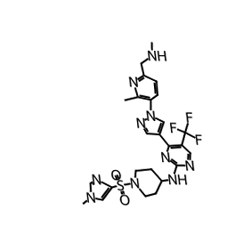 CNCc1ccc(-n2cc(-c3nc(NC4CCN(S(=O)(=O)c5cn(C)cn5)CC4)ncc3C(F)(F)F)cn2)c(C)n1